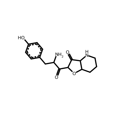 NC(Cc1ccc(O)cc1)C(=O)C1OC2CCCNC2C1=O